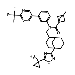 CC1(c2nc(C34CCCC(C3)C(CN(C(=O)C35CC(F)(C3)C5)c3cccc(-c5cnc(C(F)(F)F)nc5)c3)CC4)no2)CC1